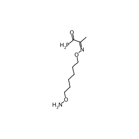 C/C(=N/OCCCCCCON)C(=O)P